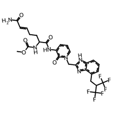 COC(=O)NC(CCC=CC(N)=O)C(=O)Nc1cccn(Cc2nc3c(CC(C(F)(F)F)C(F)(F)F)cccc3[nH]2)c1=O